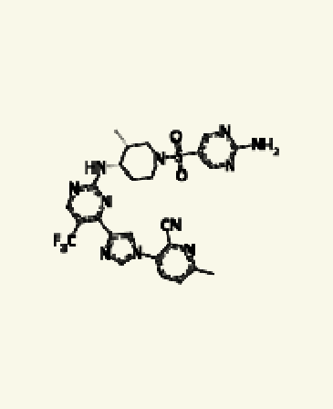 Cc1ccc(-n2cnc(-c3nc(N[C@H]4CCN(S(=O)(=O)c5cnc(N)nc5)C[C@H]4C)ncc3C(F)(F)F)c2)c(C#N)n1